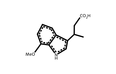 COc1cccc2c(C(C)CC(=O)O)c[nH]c12